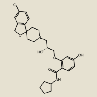 O=C(NC1CCCC1)c1ccc(O)cc1OC[C@H](O)CN1CCC2(CC1)OCc1cc(Cl)ccc12